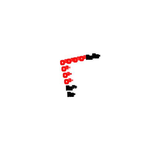 [O-2].[O-2].[O-2].[O-2].[O-2].[O-2].[O-2].[Re+7].[Re+7].[Re].[Re]